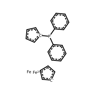 [Fe+2].[Fe].c1cc[cH-]c1.c1ccc(P(c2ccccc2)[c-]2cccc2)cc1